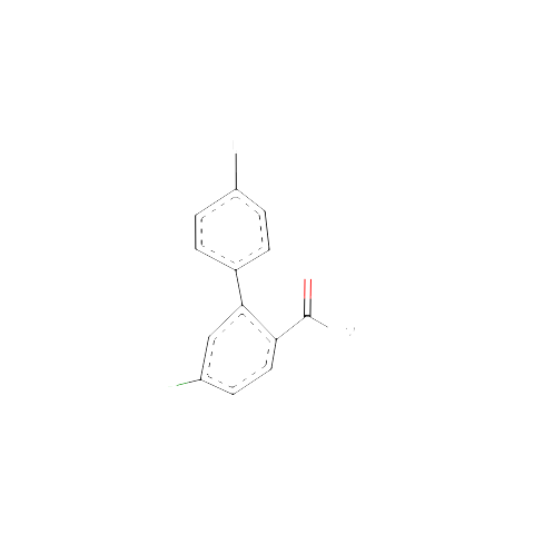 CCc1ccc(-c2cc(F)ccc2C(=O)OC)cc1